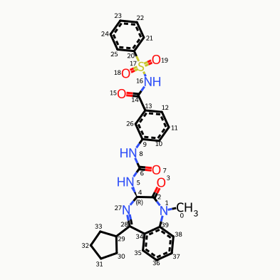 CN1C(=O)[C@H](NC(=O)Nc2cccc(C(=O)NS(=O)(=O)c3ccccc3)c2)N=C(C2CCCC2)c2ccccc21